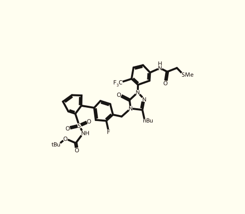 CCCCc1nn(-c2cc(NC(=O)CSC)ccc2C(F)(F)F)c(=O)n1Cc1ccc(-c2ccccc2S(=O)(=O)NC(=O)OC(C)(C)C)cc1F